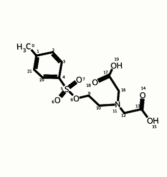 Cc1ccc(S(=O)(=O)OCCN(CC(=O)O)CC(=O)O)cc1